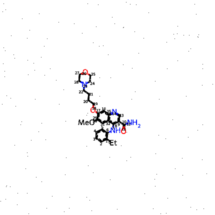 CCc1ccccc1Nc1c(C(N)=O)cnc2cc(OCCCCN3CCOCC3)c(OC)cc12